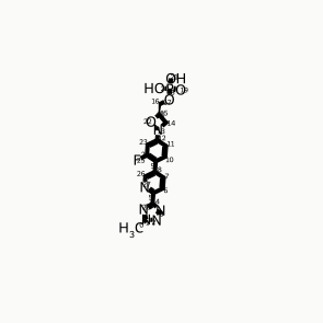 Cn1nnc(-c2ccc(-c3ccc(N4C[C@H](COP(=O)(O)O)O4)cc3F)cn2)n1